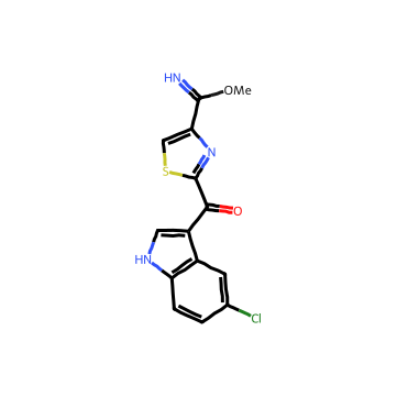 COC(=N)c1csc(C(=O)c2c[nH]c3ccc(Cl)cc23)n1